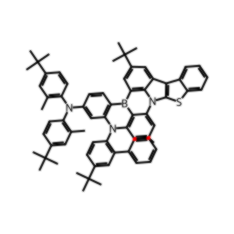 Cc1cc2c3c(c1)-n1c4sc5ccccc5c4c4cc(C(C)(C)C)cc(c41)B3c1ccc(N(c3ccc(C(C)(C)C)cc3C)c3ccc(C(C)(C)C)cc3C)cc1N2c1ccc(C(C)(C)C)cc1-c1ccccc1